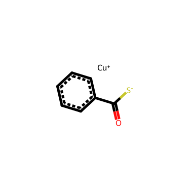 O=C([S-])c1ccccc1.[Cu+]